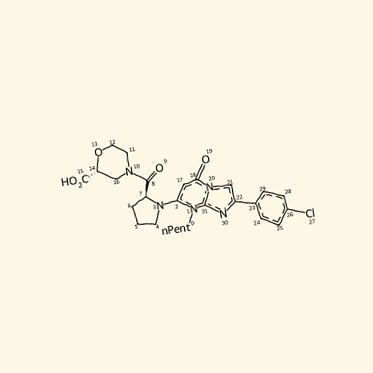 CCCCCn1c(N2CCC[C@H]2C(=O)N2CCO[C@@H](C(=O)O)C2)cc(=O)n2cc(-c3ccc(Cl)cc3)nc12